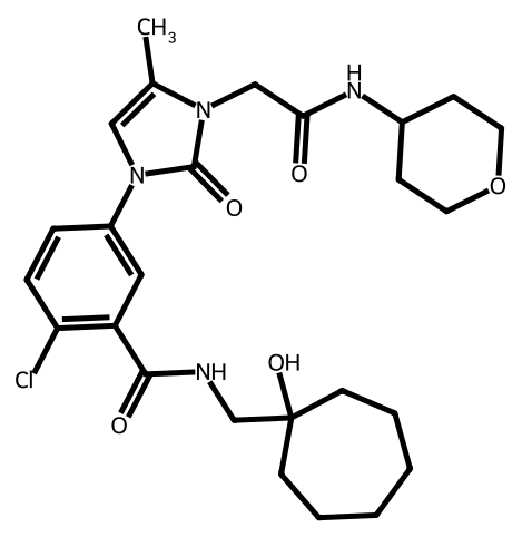 Cc1cn(-c2ccc(Cl)c(C(=O)NCC3(O)CCCCCC3)c2)c(=O)n1CC(=O)NC1CCOCC1